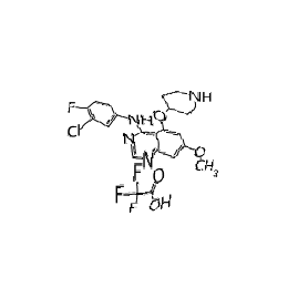 COc1cc(OC2CCNCC2)c2c(Nc3ccc(F)c(Cl)c3)ncnc2c1.O=C(O)C(F)(F)F